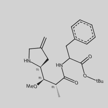 C=C1CN[C@H]([C@H](OC)[C@@H](C)C(=O)NC(Cc2ccccc2)C(=O)OC(C)(C)C)C1